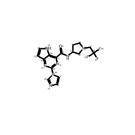 O=C(NC1CCN(CC(F)(F)F)C1)c1nc(-n2ccnc2)nc2cc[nH]c12